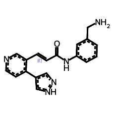 NCc1cccc(NC(=O)/C=C/c2cnccc2-c2cn[nH]c2)c1